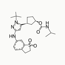 CC(C)NC(=O)O[C@@H]1CC[C@H](c2cc(Nc3ccc4c(c3)S(=O)(=O)CC4)nn2C(C)(C)C)C1